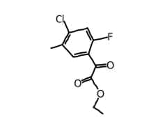 CCOC(=O)C(=O)c1cc(C)c(Cl)cc1F